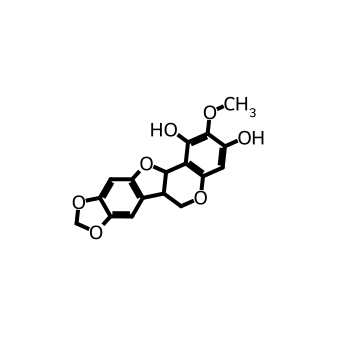 COc1c(O)cc2c(c1O)C1Oc3cc4c(cc3C1CO2)OCO4